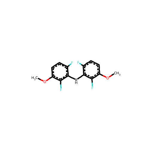 COc1ccc(F)c(Bc2c(F)ccc(OC)c2F)c1F